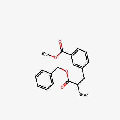 CC(=O)NC(Cc1cccc(C(=O)OC(C)(C)C)c1)C(=O)OCc1ccccc1